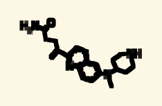 C=C(CCC(N)=O)c1ccc2cc(N(C)C3CCNCC3)ccc2n1